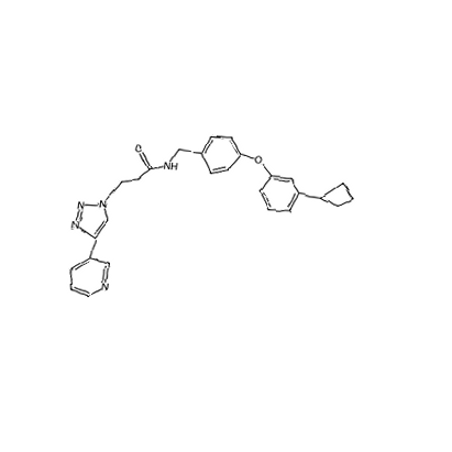 O=C(CCn1cc(-c2cccnc2)nn1)NCc1ccc(Oc2cccc(C3CCC3)c2)cc1